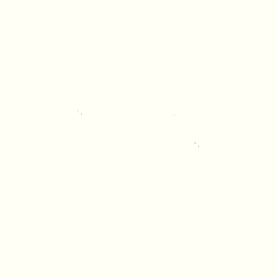 CN(CCOc1ccc(-c2cccc(C(N)=O)c2)cc1)c1cccc(F)c1